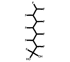 OC(O)(F)C(F)C(F)C(F)C(F)C(F)C(F)C(F)F